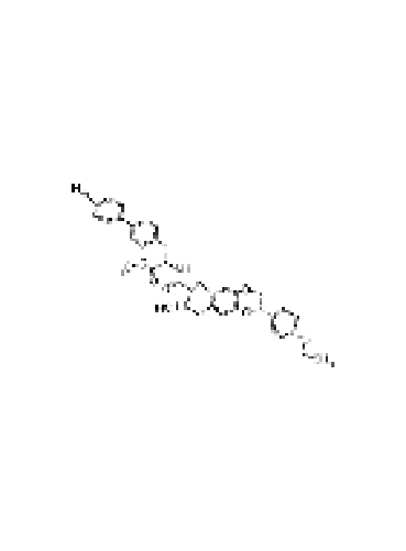 CCOc1ccc([C@H]2COc3cc4c(cc3O2)CNC(C(=O)N[C@@H](Cc2ccc(-c3ccc(C#N)cc3)cc2)C(=O)OC)C4)cc1.Cl